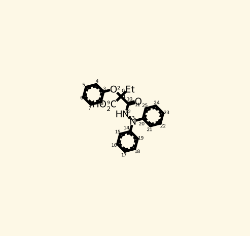 CCC(Oc1ccccc1)(C(=O)O)C(=O)NN(c1ccccc1)c1ccccc1